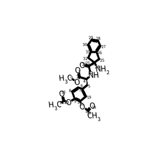 COC(=O)[C@H](Cc1ccc(OC(C)=O)c(OC(C)=O)c1)NC(=O)C1(N)Cc2ccccc2C1